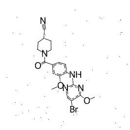 COc1cc(C(=O)N2CCC(C#N)CC2)ccc1Nc1ncc(Br)c(OC)n1